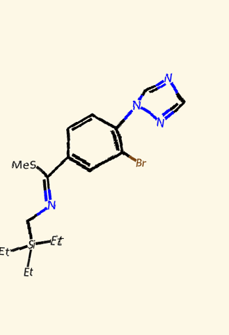 CC[Si](CC)(CC)CN=C(SC)c1ccc(-n2cncn2)c(Br)c1